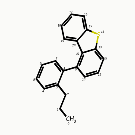 CCCc1ccccc1-c1cccc2sc3ccccc3c12